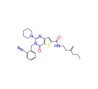 C=C(CCC)CCNC(=O)c1cc2nc(N3CCCCC3)n(Cc3ccccc3C#N)c(=O)c2s1